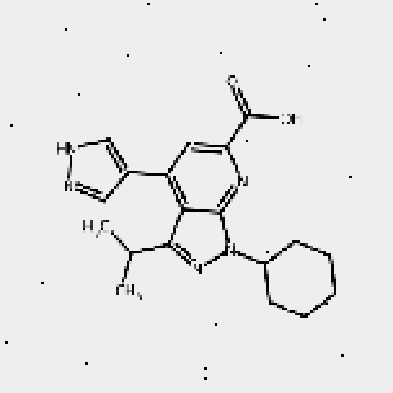 CC(C)c1nn(C2CCCCC2)c2nc(C(=O)O)cc(-c3cn[nH]c3)c12